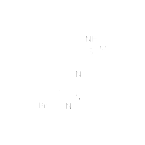 N=S1(=O)CCN(c2nnc(Br)s2)CC1